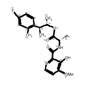 COc1ccnc(C(=O)N[C@H](C(=O)O[C@@H](C)[C@@H](C)c2ccc(F)cc2C)C(C)C)c1O